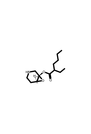 CCCCC(CC)C(=O)O[C@]12CNCC[C@@H]1O2